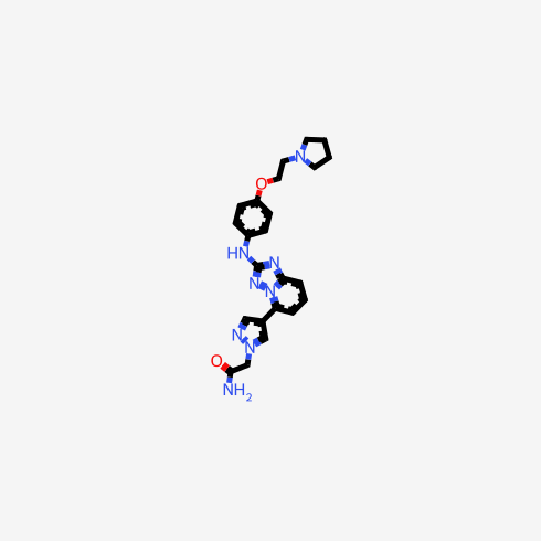 NC(=O)Cn1cc(-c2cccc3nc(Nc4ccc(OCCN5CCCC5)cc4)nn23)cn1